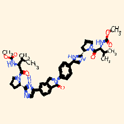 COC(=O)N[C@H](C(=O)N1CCC[C@H]1c1ncc(-c2ccc(N3Cc4cc(-c5cnc([C@@H]6CCCN6C(=O)[C@@H](NC(=O)OC)C(C)C)[nH]5)ccc4C3=O)cc2)[nH]1)C(C)C